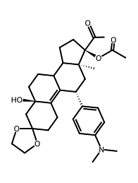 CC(=O)O[C@]1(C(C)=O)CCC2C3CC[C@@]4(O)CC5(CCC4=C3[C@@H](c3ccc(N(C)C)cc3)C[C@@]21C)OCCO5